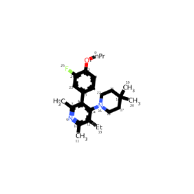 CCCOc1ccc(-c2c(C)nc(C)c(CC)c2N2CCC(C)(C)CC2)cc1F